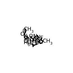 COCC(=O)N1C[C@H](C)[C@H](NC(=O)c2c(C)[nH]c3c(-c4c(OCC5CC5)ccc(C)c4F)ncnc23)C1